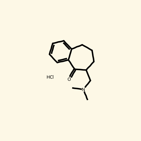 CN(C)CC1CCCc2ccccc2C1=O.Cl